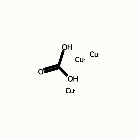 O=C(O)O.[Cu].[Cu].[Cu]